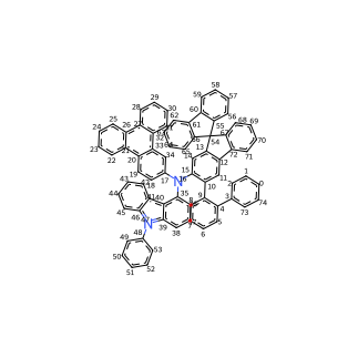 c1ccc(-c2ccccc2-c2cc3c(cc2N(c2ccc4c5ccccc5c5ccccc5c4c2)c2cccc4c2c2ccccc2n4-c2ccccc2)C2(c4ccccc4-c4ccccc42)c2ccccc2-3)cc1